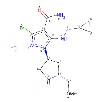 COC[C@H]1C[C@H](n2nc(Br)c(C(N)=O)c2NCC2CC2)CN1.Cl